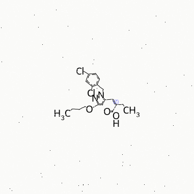 CCCCOc1cc(/C=C(/CC)C(=O)O)n(Cc2ccc(Cl)cc2Cl)n1